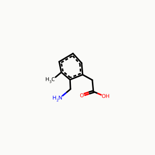 Cc1cccc(CC(=O)O)c1CN